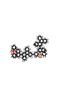 O=P(c1ccccc1)(c1ccc(-c2ccc3c(c2)c2ccccc2c2cc(-c4cccc5c(P(=O)(c6ccccc6)c6ccccc6)cccc45)c4ccccc4c32)cc1)c1ccc(-c2cc3c4ccccc4c4ccccc4c3c3ccccc23)c2ccccc12